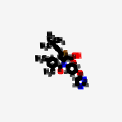 CC1=CC[C@H](C(=O)N(c2cc(C#CC(C)(C)C)sc2C(=O)O)C2CCC(Oc3ccncn3)CC2)[C@@H](C)C1